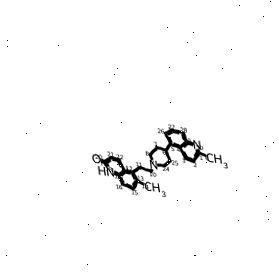 Cc1ccc2c(C3CCN(CCc4c(C)ccc5[nH]c(=O)ccc45)CC3)cccc2n1